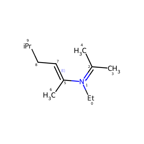 CC[N+](=C(C)C)/C(C)=C/CC(C)C